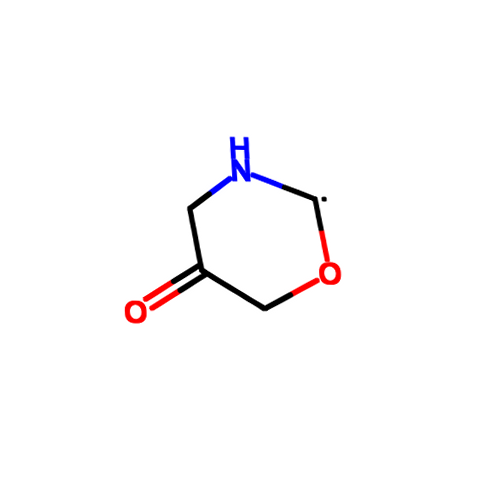 O=C1CN[CH]OC1